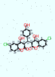 O=c1oc2ccc(Cl)cc2c(O)c1C(c1ccc(O)cc1)c1c(O)c2cc(Cl)ccc2oc1=O